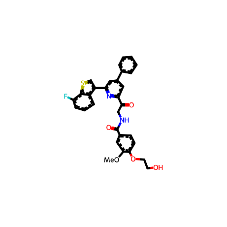 COc1cc(C(=O)NCC(=O)c2cc(-c3ccccc3)cc(-c3csc4c(F)cccc34)n2)ccc1OCCO